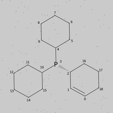 C1=C[C@H](P(C2CCCCC2)C2CCCCC2)CCC1